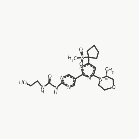 C[C@H]1COCCN1c1cc(C2(S(C)(=O)=O)CCCC2)nc(-c2cnc(NC(=O)NCCO)nc2)n1